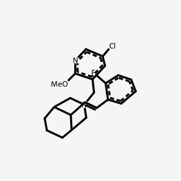 COc1ncc(Cl)cc1CN1CC2CCCC(C1)C2/C=C/c1ccccc1F